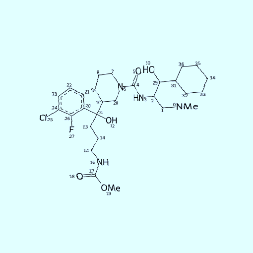 CNCC(NC(=O)N1CCCC(C(O)(CCCNC(=O)OC)c2cccc(Cl)c2F)C1)C(O)C1CCCCC1